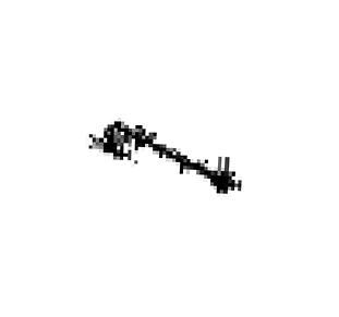 CN(CCCCNC(=O)CCCC(=O)NCCCOCCOCCOCCCNC(=O)CCCC[C@@H]1SC[C@@H]2NC(=O)N[C@@H]21)CC1CCc2c([nH]c3c(C(N)=O)ccc(Br)c23)C1